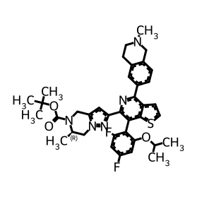 CC(C)Oc1cc(F)cc(F)c1-c1c(-c2cc3n(n2)C[C@@H](C)N(C(=O)OC(C)(C)C)C3)nc(-c2ccc3c(c2)CCN(C)C3)c2ccsc12